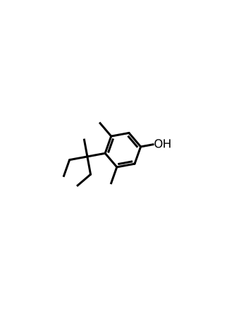 CCC(C)(CC)c1c(C)cc(O)cc1C